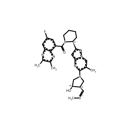 C/N=C\[C@@H]1CN(c2nc3cc([C@@H]4CCCCN4C(=O)c4cc(F)cc5nc(C)c(C)nc45)nn3cc2C)C[C@@H]1O